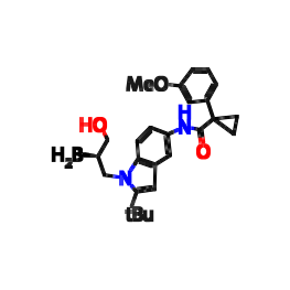 B[C@@H](CO)Cn1c(C(C)(C)C)cc2cc(NC(=O)C3(c4cccc(OC)c4)CC3)ccc21